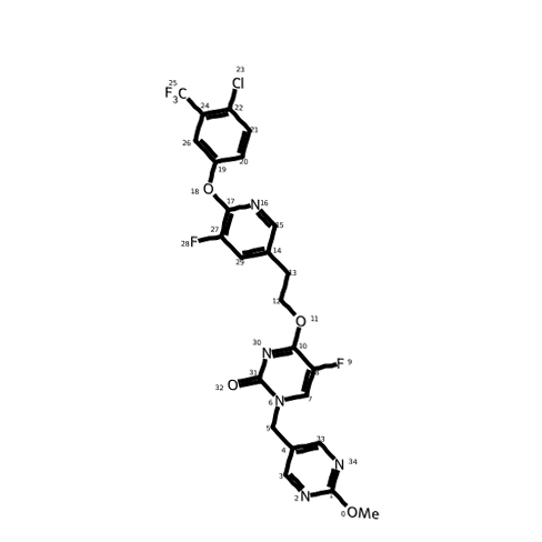 COc1ncc(Cn2cc(F)c(OCCc3cnc(Oc4ccc(Cl)c(C(F)(F)F)c4)c(F)c3)nc2=O)cn1